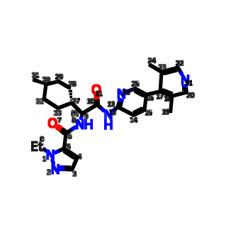 CCn1nccc1C(=O)N[C@H](C(=O)Nc1ccc(-c2c(C)cncc2C)cn1)[C@H]1CC[C@H](C)CC1